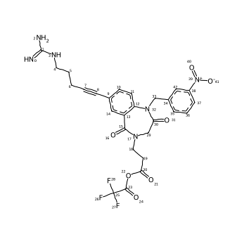 N=C(N)NCCCC#Cc1ccc2c(c1)C(=O)N(CCC(=O)OC(=O)C(F)(F)F)CC(=O)N2Cc1cccc([N+](=O)[O-])c1